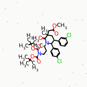 COC(=O)CC1(C)CC(c2cccc(Cl)c2)C(c2ccc(Cl)cc2)N([C@@H](C)CCN(C(=O)OC(C)(C)C)C(=O)OC(C)(C)C)C1=O